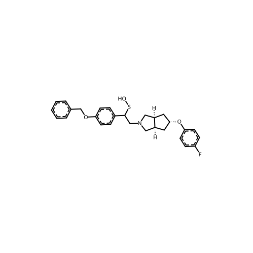 OSC(CN1C[C@H]2C[C@H](Oc3ccc(F)cc3)C[C@H]2C1)c1ccc(OCc2ccccc2)cc1